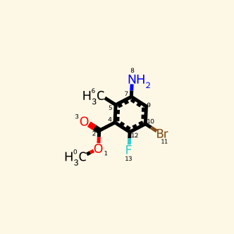 COC(=O)c1c(C)c(N)cc(Br)c1F